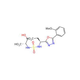 COc1ccccc1-c1nnc([C@H](CC(=O)O)NS(=O)(=O)N[C@@H](CO)C(=O)O)o1